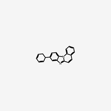 C1=CCC(c2ccc3c(c2)nc2ccc4ccccc4n23)C=C1